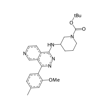 COc1cc(C)ccc1-c1nnc(NC2CCCN(C(=O)OC(C)(C)C)C2)c2ccncc12